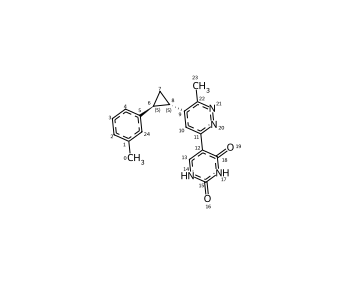 Cc1cccc([C@H]2C[C@@H]2c2cc(-c3c[nH]c(=O)[nH]c3=O)nnc2C)c1